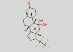 C[C@]12CCC(=O)C=C1CC[C@@H]1[C@H]2C(O)(O)C[C@]2(C)C(C(F)(F)C(F)(F)F)CC[C@@H]12